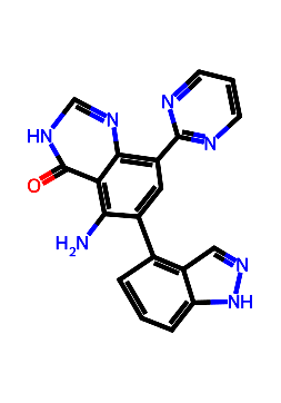 Nc1c(-c2cccc3[nH]ncc23)cc(-c2ncccn2)c2nc[nH]c(=O)c12